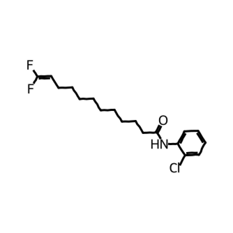 O=C(CCCCCCCCCC=C(F)F)Nc1ccccc1Cl